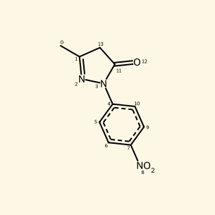 CC1=NN(c2ccc([N+](=O)[O-])cc2)C(=O)C1